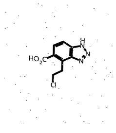 O=C(O)c1ccc2[nH]nnc2c1CCCl